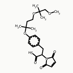 COCC(C)(C)OCCC(C)(C)Oc1ccc(CC(C(=O)S)N2C(=O)C=CC2=O)cc1